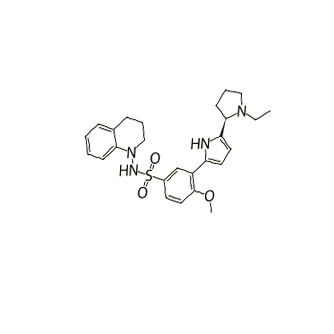 CCN1CCC[C@@H]1c1ccc(-c2cc(S(=O)(=O)NN3CCCc4ccccc43)ccc2OC)[nH]1